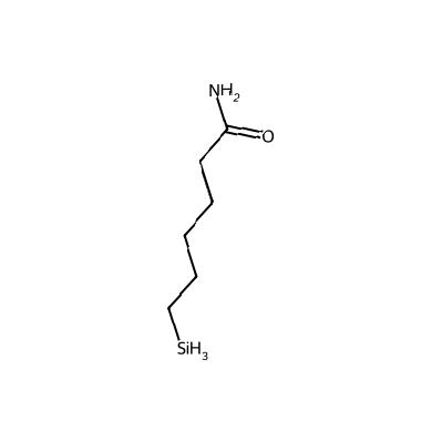 NC(=O)CCCCC[SiH3]